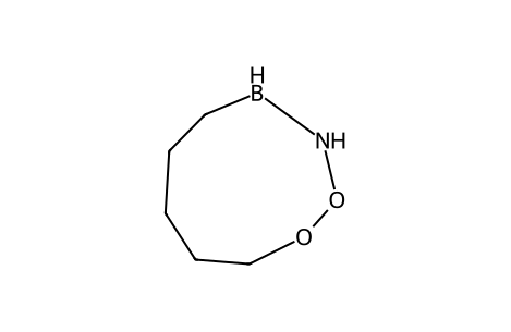 B1CCCCCOON1